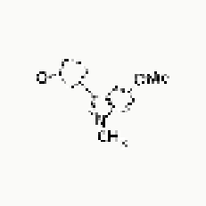 COc1ccc2c(c1)c(C1CCCC(=O)C1)cn2C